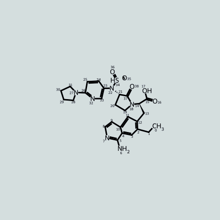 CCc1cc2c(N)nccc2cc1C[C@H](C(=O)O)N1CC[C@H](N(c2ccc(N3CCCC3)nc2)[SH](=O)=O)C1=O